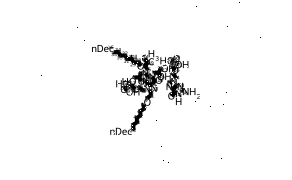 CCCCCCCCCCCCCCCCCCOCCc1nc2c(=O)n(CC(O)CO)c(N(CC(OCCCCCCCCCCCCCCCCCC)=C(C)C)CC(O)CO)nc2n1CCOCP(=O)(O)O.Nc1nc2c(ncn2CCOCP(=O)(O)O)c(=O)[nH]1